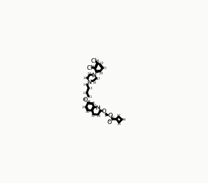 O=C(OCOC1=Nc2cc(OCCCCN3CCN(c4cccc(Cl)c4Cl)CC3)ccc2CC1)C1CCC1